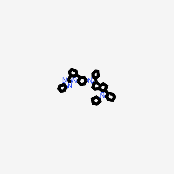 c1ccc(-n2c3ccccc3c3ccc4c(ccc5c4c4ccccc4n5-c4ccc5c(c4)c4cccc6c7nc8ccccc8nc7n5c46)c32)cc1